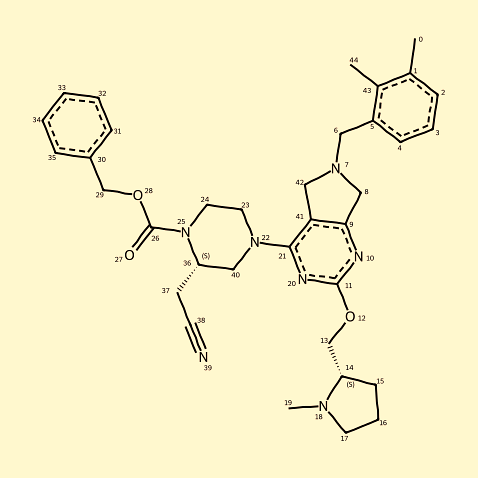 Cc1cccc(CN2Cc3nc(OC[C@@H]4CCCN4C)nc(N4CCN(C(=O)OCc5ccccc5)[C@@H](CC#N)C4)c3C2)c1C